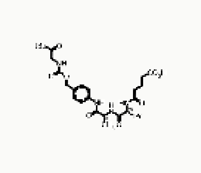 CC(C)[C@H](NC(=O)CCCC(=O)O)C(=O)N[C@@H](C)C(=O)Nc1ccc(COC(=O)NCC(=O)C(C)(C)C)cc1